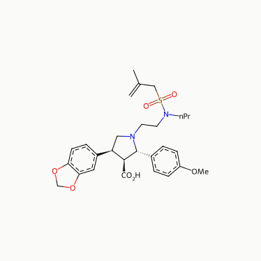 C=C(C)CS(=O)(=O)N(CCC)CCN1C[C@H](c2ccc3c(c2)OCO3)[C@H](C(=O)O)[C@H]1c1ccc(OC)cc1